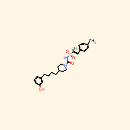 C/C(=C\c1ccc(C)cc1)S(=O)(=O)NC(=O)N1CCC(CCCCc2cccc(O)c2)CC1